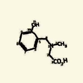 CN(CC(=O)O)Cc1ccccc1O